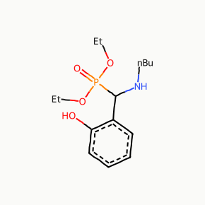 CCCCNC(c1ccccc1O)P(=O)(OCC)OCC